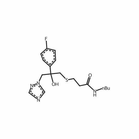 CCCCNC(=O)CCSCC(O)(Cn1cncn1)c1ccc(F)cc1